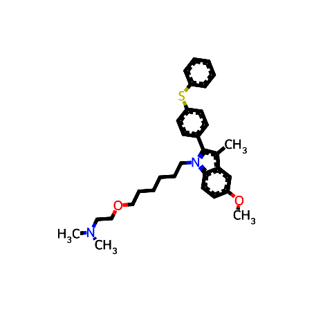 COc1ccc2c(c1)c(C)c(-c1ccc(Sc3ccccc3)cc1)n2CCCCCCOCCN(C)C